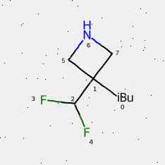 CCC(C)C1(C(F)F)CNC1